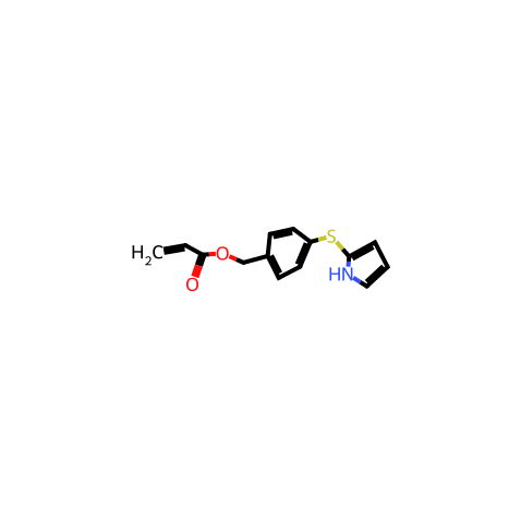 C=CC(=O)OCc1ccc(Sc2ccc[nH]2)cc1